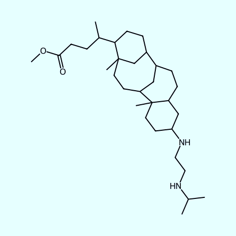 COC(=O)CCC(C)C1CCC2CC1(C)CCC1CC2CCC2CC(NCCNC(C)C)CCC21C